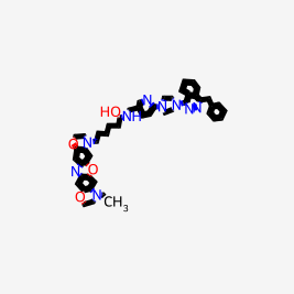 CCN1CCOc2cc3c(cc21)Oc1cc2c(cc1=N3)OCC[N+]=2CCCCCC(O)NCc1ccc(N2CCN(c3nnc(Cc4ccccc4)c4ccccc34)CC2)nc1